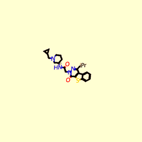 CC(C)c1nn(CC(=O)N[C@@H]2CCCN(CC3CC3)C2)c(=O)c2sc3ccccc3c12